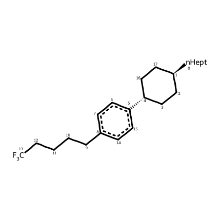 CCCCCCC[C@H]1CC[C@H](c2ccc(CCCCC(F)(F)F)cc2)CC1